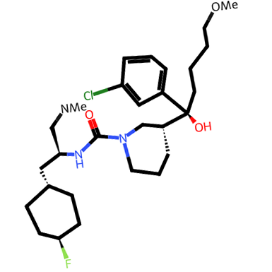 CNC[C@H](C[C@H]1CC[C@H](F)CC1)NC(=O)N1CCC[C@@H]([C@@](O)(CCCCOC)c2cccc(Cl)c2)C1